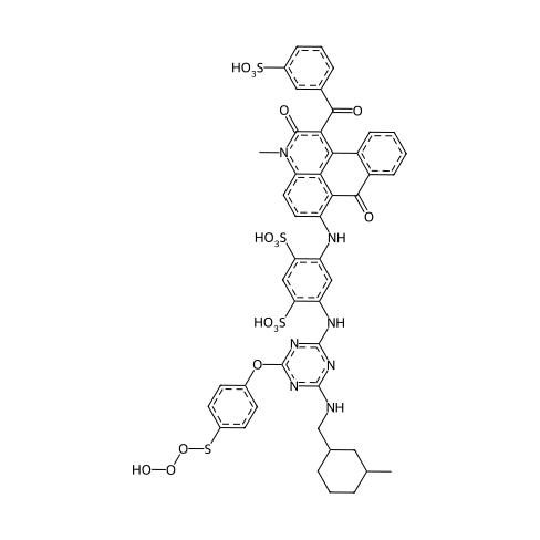 CC1CCCC(CNc2nc(Nc3cc(Nc4ccc5c6c4C(=O)c4ccccc4-c6c(C(=O)c4cccc(S(=O)(=O)O)c4)c(=O)n5C)c(S(=O)(=O)O)cc3S(=O)(=O)O)nc(Oc3ccc(SOOO)cc3)n2)C1